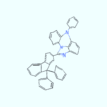 c1ccc(N2c3ccccc3-n3c(-c4ccc5c(c4)C(c4ccccc4)(c4ccccc4)c4ccccc4-5)nc4cccc2c43)cc1